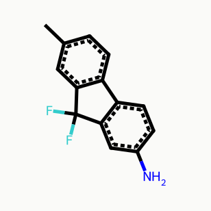 Cc1ccc2c(c1)C(F)(F)c1cc(N)ccc1-2